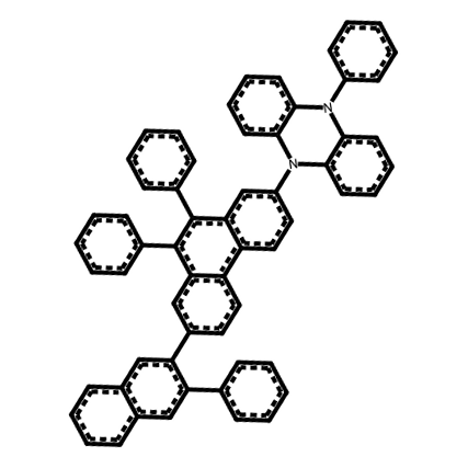 c1ccc(-c2cc3ccccc3cc2-c2ccc3c(c2)c(-c2ccccc2)c(-c2ccccc2)c2cc(N4c5ccccc5N(c5ccccc5)c5ccccc54)ccc23)cc1